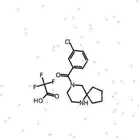 O=C(O)C(F)(F)F.O=C(c1cccc(Cl)c1)N1CCNC2(CCCC2)C1